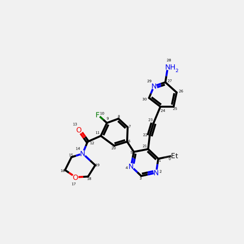 CCc1ncnc(-c2ccc(F)c(C(=O)N3CCOCC3)c2)c1C#Cc1ccc(N)nc1